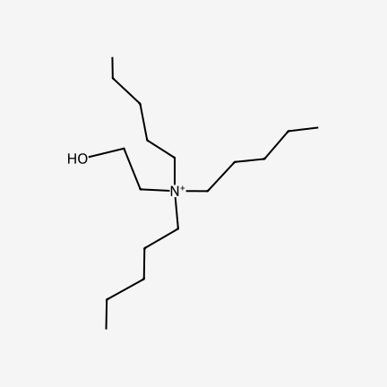 CCCCC[N+](CCO)(CCCCC)CCCCC